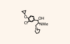 CNC(CN1CCCC1)C(O)c1ccc(OC2CC2)c(Cl)c1